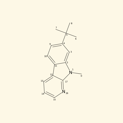 Cn1c2cc(C(C)(C)C)ccc2c2cccnc21